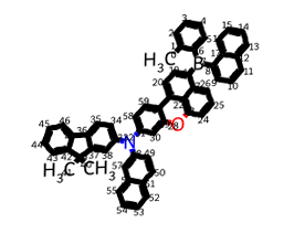 Cc1ccccc1B(c1cccc2ccccc12)c1ccc2c3c(cccc13)Oc1cc(N(c3ccc4c(c3)C(C)(C)c3ccccc3-4)c3ccc4ccccc4c3)ccc1-2